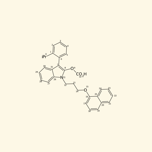 CC(C)c1ccccc1-c1c(OC(=O)O)n(CCCOc2cccc3ccccc23)c2ccccc12